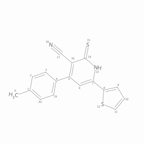 Cc1ccc(-c2cc(-c3cccs3)[nH]c(=S)c2C#N)cc1